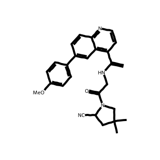 C=C(NCC(=O)N1CC(C)(C)CC1C#N)c1ccnc2ccc(-c3ccc(OC)cc3)cc12